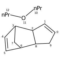 C1=CC2C3C=CC(C3)C2C1.CCCOCCC